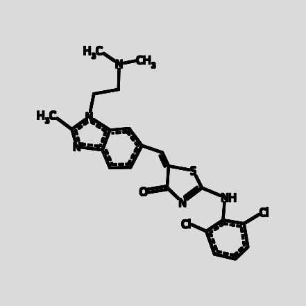 Cc1nc2ccc(C=C3SC(Nc4c(Cl)cccc4Cl)=NC3=O)cc2n1CCN(C)C